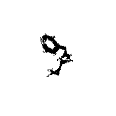 FC1(Cl)CC1c1nc(Cc2ccncc2)c[nH]1